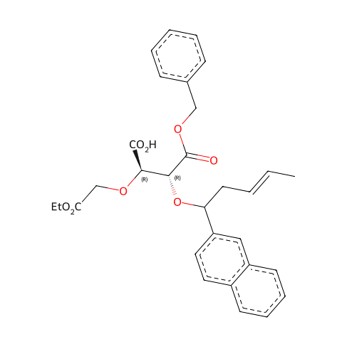 CC=CCC(O[C@@H](C(=O)OCc1ccccc1)[C@@H](OCC(=O)OCC)C(=O)O)c1ccc2ccccc2c1